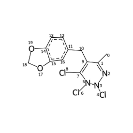 CC1=NN(Cl)N(Cl)C(Cl)=C1Cc1ccc2c(c1)OCO2